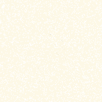 NCC(=O)c1ccc(Nc2ccn(CCCCN3CCC(N)CC3)c(=O)n2)nc1